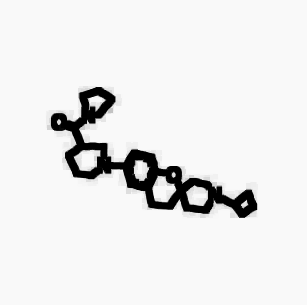 O=C(C1CCCN(c2ccc3c(c2)CCC2(CCN(C4CCC4)CC2)O3)C1)N1CCCC1